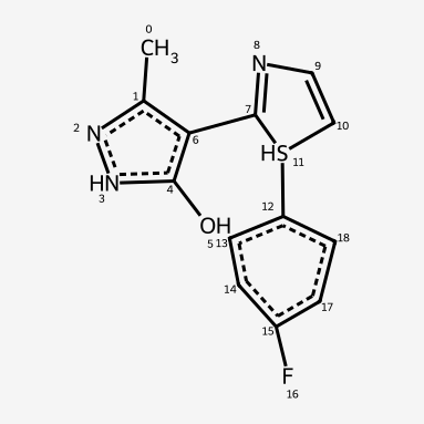 Cc1n[nH]c(O)c1C1=NC=C[SH]1c1ccc(F)cc1